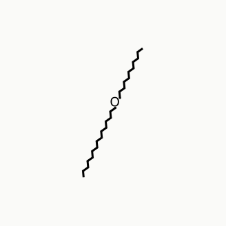 CCCCCCCCCCCCCCCOCCCCCCCCCCC